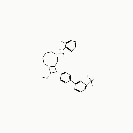 Cc1ccccc1S(=O)(=O)N1CCCCN2C(C1)[C@H](c1ccc(-c3cccc(C(F)(F)F)c3)cc1)[C@H]2CO